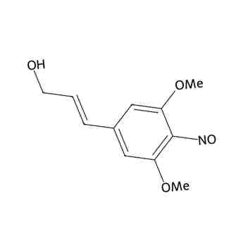 COc1cc(/C=C/CO)cc(OC)c1N=O